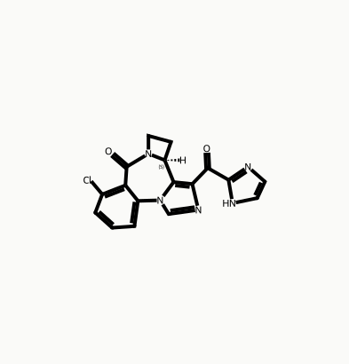 O=C(c1ncc[nH]1)c1ncn2c1[C@@H]1CCN1C(=O)c1c(Cl)cccc1-2